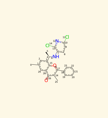 Cc1cc([C@@H](C)Nc2ccc(Cl)nc2Cl)c2oc(-c3ccccc3)c(C)c(=O)c2c1